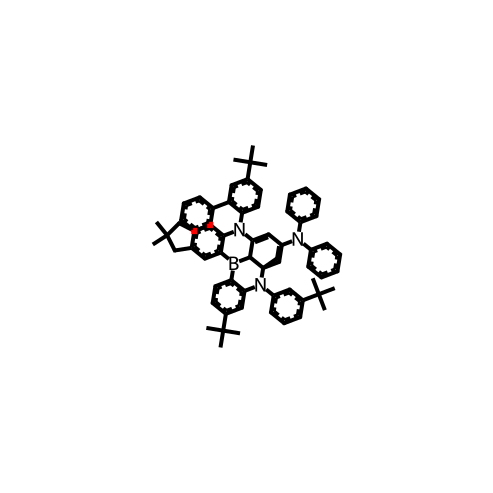 CC1(C)Cc2cc3c(cc2C1)N(c1ccc(C(C)(C)C)cc1-c1ccccc1)C1=CC(N(c2ccccc2)c2ccccc2)=CC2(C)C1B3c1ccc(C(C)(C)C)cc1N2c1cccc(C(C)(C)C)c1